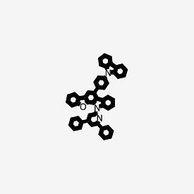 c1ccc(-c2cc(-c3ccccc3)nc(-n3c4ccccc4c4c(-c5ccc(-n6c7ccccc7c7ccccc76)cc5)cc5c6ccccc6oc5c43)c2)cc1